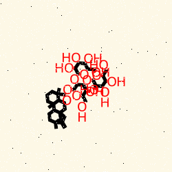 C=C1CC23CCC4C(C)(C(=O)OC5OC(CO)C(O)C(OC6OC(CO)C(O)C(O)C6O)C5OC5OC(CO)C(O)C(O)C5O)CCCC4(C)C2CCC1(C)C3